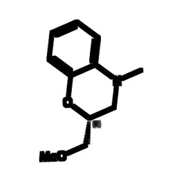 COC[C@H]1CN(C)c2ccccc2O1